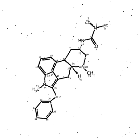 CCN(CC)C(=O)N[C@H]1CC2c3cccc4c3c(c(Sc3ccccc3)n4C)C[C@H]2N(C)C1